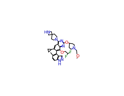 COCCN1CCC(Oc2nc(N3CCC4(CC3)CNC4)c3cc(C4CC4)c(-c4c(C)ccc5[nH]ncc45)c(OCC(F)F)c3n2)CC1